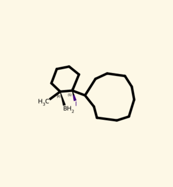 B[C@@]1(C)CCCC[C@]1(I)C1CCCCCCCCC1